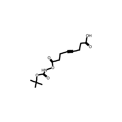 CC(C)(C)OC(=O)NOC(=O)CCC#CCCC(=O)O